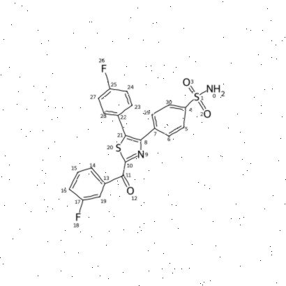 NS(=O)(=O)c1ccc(-c2nc(C(=O)c3cccc(F)c3)sc2-c2ccc(F)cc2)cc1